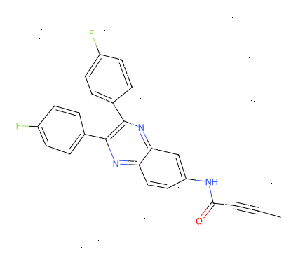 CC#CC(=O)Nc1ccc2nc(-c3ccc(F)cc3)c(-c3ccc(F)cc3)nc2c1